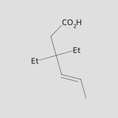 CC=CC(CC)(CC)CC(=O)O